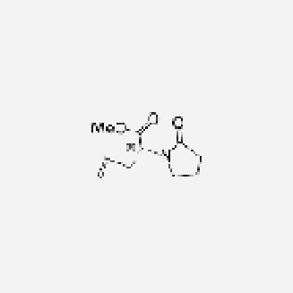 C=CC[C@H](C(=O)OC)N1CCCC1=O